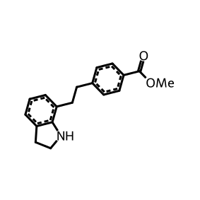 COC(=O)c1ccc(CCc2cccc3c2NCC3)cc1